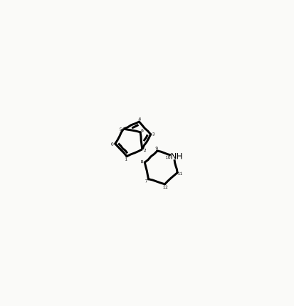 C1=CC2=CC=C1C2.C1CCNCC1